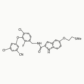 CSCCOc1ccc2[nH]c(C(=O)NCc3ccc(Cl)c(Oc4cc(Cl)cc(C#N)c4)c3F)cc2c1